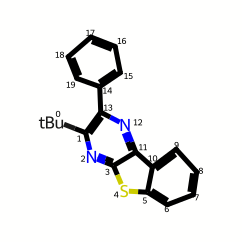 CC(C)(C)c1nc2sc3ccccc3c2nc1-c1ccccc1